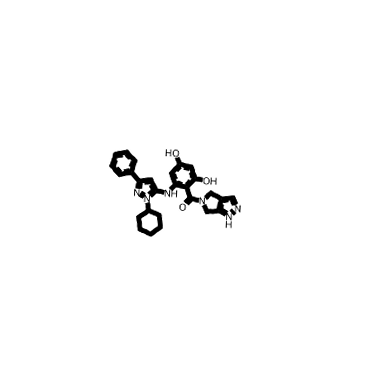 O=C(c1c(O)cc(O)cc1Nc1cc(-c2ccccc2)nn1C1CCCCC1)N1Cc2cn[nH]c2C1